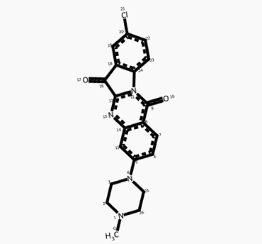 CN1CCN(c2ccc3c(=O)n4c(nc3c2)C(=O)c2cc(Cl)ccc2-4)CC1